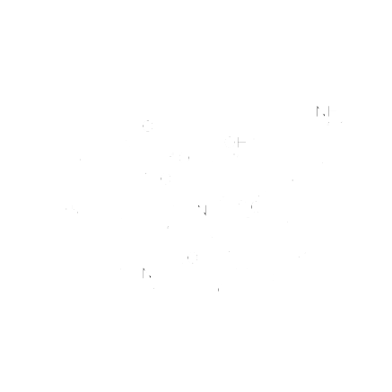 COc1ccc(SC)c(-c2ccncc2C(=O)N(C(=O)c2c(Cl)cccc2Cl)[C@@H](Cc2ccc(N)cc2)C(=O)O)c1